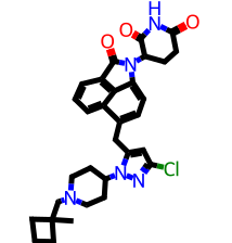 CC1(CN2CCC(n3nc(Cl)cc3Cc3ccc4c5c(cccc35)C(=O)N4C3CCC(=O)NC3=O)CC2)CCC1